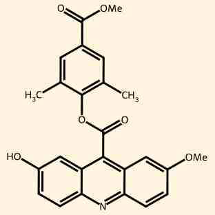 COC(=O)c1cc(C)c(OC(=O)c2c3cc(O)ccc3nc3ccc(OC)cc23)c(C)c1